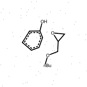 CCCCOCC1CO1.Oc1ccccc1